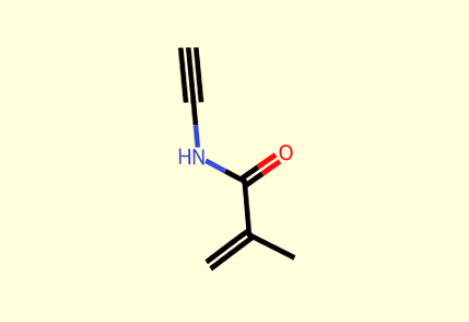 C#CNC(=O)C(=C)C